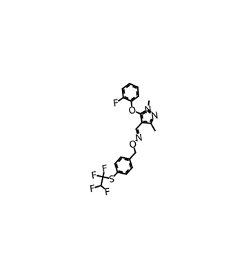 Cc1nn(C)c(Oc2ccccc2F)c1C=NOCc1ccc(SC(F)(F)C(F)F)cc1